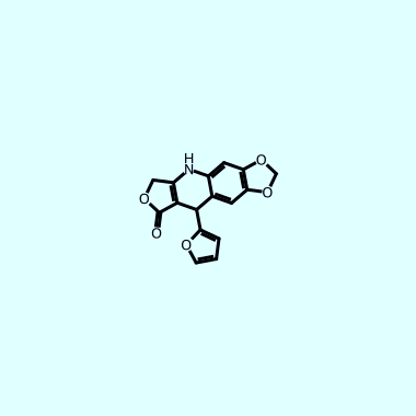 O=C1OCC2=C1C(c1ccco1)c1cc3c(cc1N2)OCO3